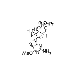 COC1=NC(N)=NC2C1=NCN2[C@@H]1O[C@@H]2CO[P@](=O)(OC(C)C)O[C@H]2[C@@]1(C)F